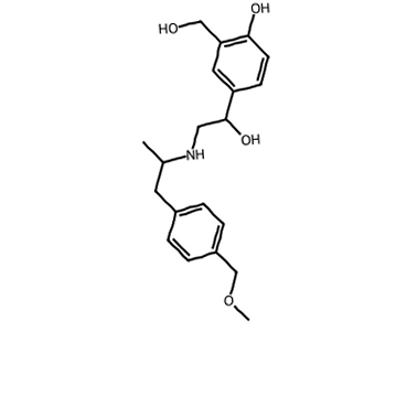 COCc1ccc(CC(C)NCC(O)c2ccc(O)c(CO)c2)cc1